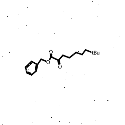 CC(C)(C)CCCCCC(=O)C(=O)OCc1ccccc1